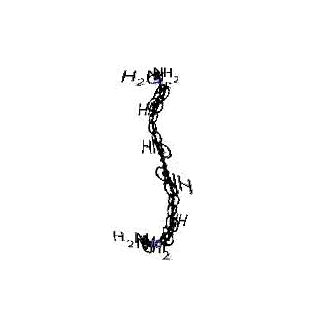 C/C(=C\c1cc(F)c(Oc2ccc(S(=O)(=O)NCCOCCOCCOCCNC(=O)CCCCCCC(=O)NCCOCCOCCOCCNS(=O)(=O)c3ccc(Oc4c(F)cc(/C=C(\C)C(=O)N=C(N)N)cc4F)cc3)cc2)c(F)c1)C(=O)N=C(N)N